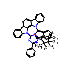 CC1(C)c2ccc(-n3c4ccccc4c4ccc5c6ccccc6n(-c6nc(-c7ccccc7)nc(-c7ccccc7)n6)c5c43)cc2C(C)(C)C1(C)C